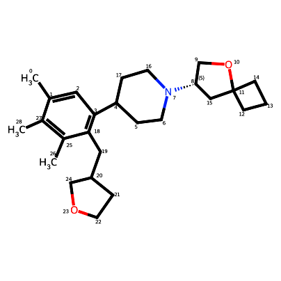 Cc1cc(C2CCN([C@@H]3COC4(CCC4)C3)CC2)c(CC2CCOC2)c(C)c1C